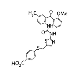 COc1ccccc1C(=O)c1cc(C)ccc1NC(=O)Nc1ncc(CSc2ccc(C(=O)O)cc2)s1